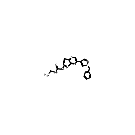 CCNC(=S)Nc1ccc2ncc(-c3cnn(Cc4ccccc4)c3)nc2n1